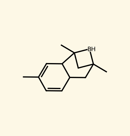 CC1=CC2C(C=C1)CC1(C)BC2(C)C1